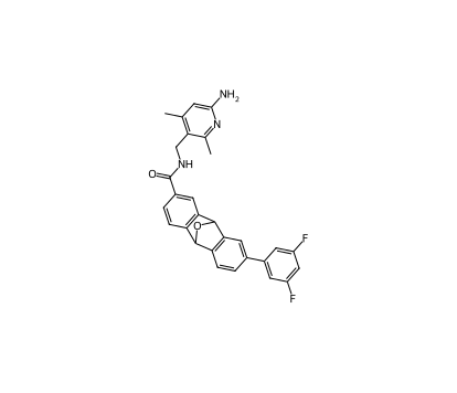 Cc1cc(N)nc(C)c1CNC(=O)c1ccc2c(c1)C1OC2c2ccc(-c3cc(F)cc(F)c3)cc21